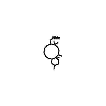 CNCC1CCCCCC2CC(C)CCC2(C)C(C)CCC1(C)C